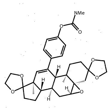 CNC(=O)Oc1ccc(C2=C[C@@]3(C)[C@@H](CCC34OCCO4)[C@@H]3C[C@@H]4O[C@@]45CC4(CC[C@]5(C)[C@@H]23)OCCO4)cc1